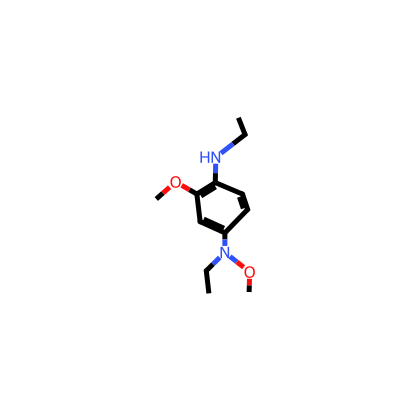 CCNc1ccc(N(CC)OC)cc1OC